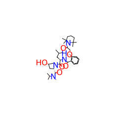 CC(C)C[C@@H](NC(=O)c1ccccc1OCC(=O)N1C(C)(C)CCCC1(C)C)C(=O)N1C[C@H](O)C[C@H]1C(=O)N(C)C(C)C